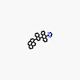 c1cnc(-c2c3ccccc3c(-c3ccc(-c4ccc5ccc6cccc7ccc4c5c67)c4ccccc34)c3ccccc23)nc1